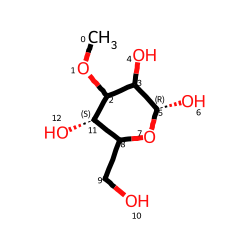 COC1C(O)[C@H](O)OC(CO)[C@@H]1O